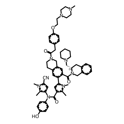 Cc1c(N(C(=O)c2cc(-c3cc4c(cc3C(=O)N3Cc5ccccc5C[C@H]3CN3CCCCC3)CN(C(=O)Cc3ccc(OCCN5CCN(C)CC5)cc3)CC4)n(C)c2C)c2ccc(O)cc2)cc(C#N)n1C